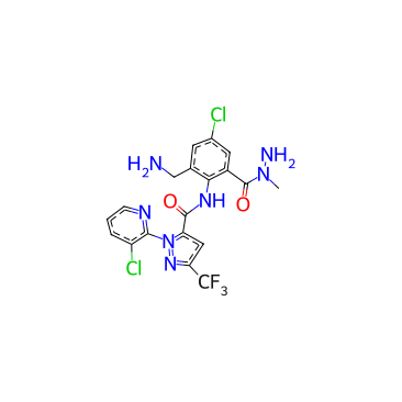 CN(N)C(=O)c1cc(Cl)cc(CN)c1NC(=O)c1cc(C(F)(F)F)nn1-c1ncccc1Cl